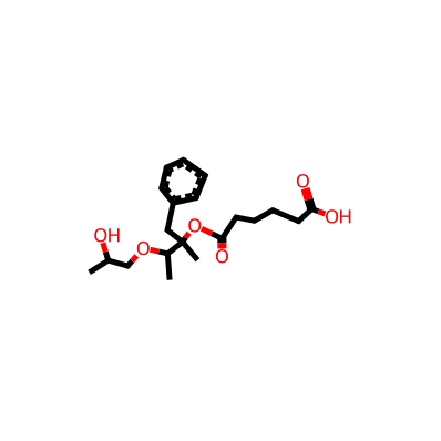 CC(O)COC(C)C(C)(Cc1ccccc1)OC(=O)CCCCC(=O)O